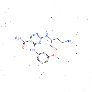 COc1cccc(Nc2nc(NC(C=O)CCN)ncc2C(N)=O)c1